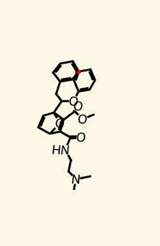 COC(=O)C1=C(C(=O)NCCN(C)C)C2C=CC1(C(Cc1ccccc1)Oc1ccccc1)O2